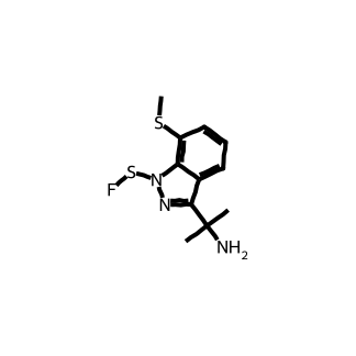 CSc1cccc2c(C(C)(C)N)nn(SF)c12